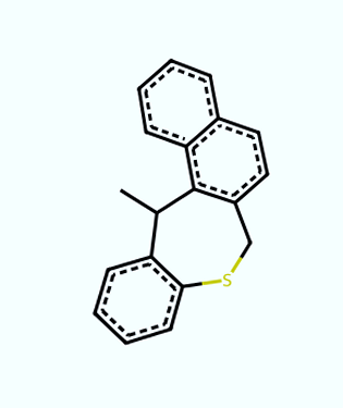 CC1c2ccccc2SCc2ccc3ccccc3c21